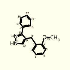 COc1ccccc1Cc1c[nH]nc1-c1ccccc1